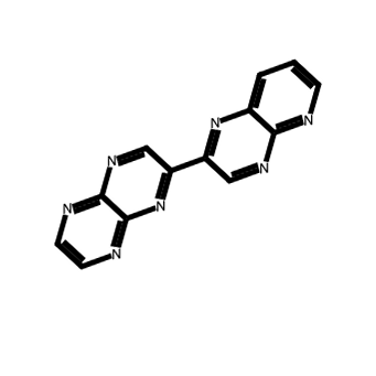 c1cnc2ncc(-c3cnc4nccnc4n3)nc2c1